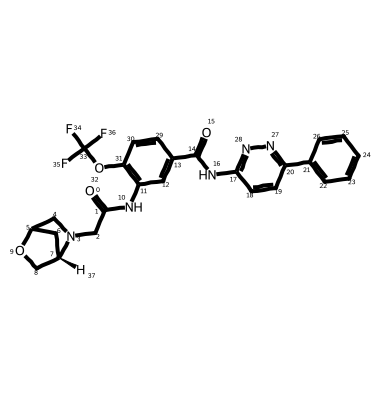 O=C(CN1CC2C[C@H]1CO2)Nc1cc(C(=O)Nc2ccc(-c3ccccc3)nn2)ccc1OC(F)(F)F